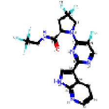 O=C(NCC(F)(F)F)[C@H]1CC(F)(F)CN1c1nc(C2=CNC3=NC=CCC23)ncc1F